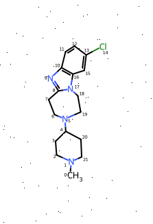 CN1CCC(N2CCc3nc4ccc(Cl)cc4n3CC2)CC1